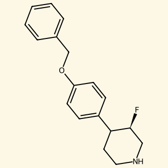 F[C@H]1CNCCC1c1ccc(OCc2ccccc2)cc1